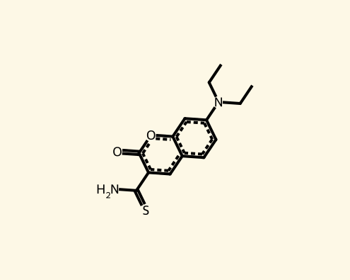 CCN(CC)c1ccc2cc(C(N)=S)c(=O)oc2c1